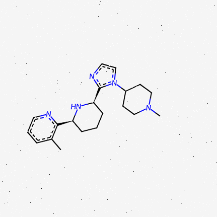 Cc1cccnc1[C@@H]1CCC[C@H](c2nccn2C2CCN(C)CC2)N1